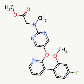 COC(=O)CN(C)c1ncc(Oc2ncccc2-c2ccc(F)cc2OC)cn1